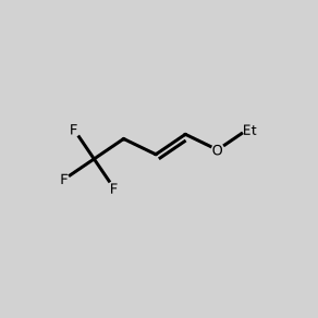 CCOC=CCC(F)(F)F